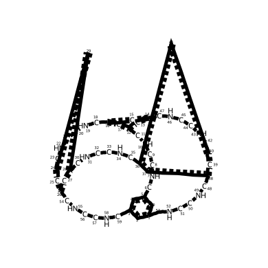 c1c2cc3cc1CNCCNCc1cc4cc(c1)CNCCNCc1cc(cc(c1)CNCCNCc1cc(cc(c1)CNCCNC4)CNCCNC2)CNCCNC3